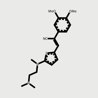 COc1ccc(/C(C#N)=C/c2ccc(N(C)CCN(C)C)s2)cc1OC